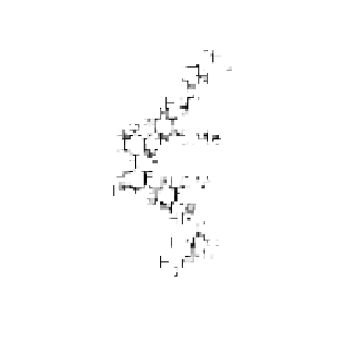 C=C1CC[C@@H](CNCc2ncc(-c3cc(F)cc(-c4cc(F)cc(-c5cnc(CNC[C@@H]6CCC(=C)N6)c(OC)n5)c4Cl)c3Cl)nc2OC)N1